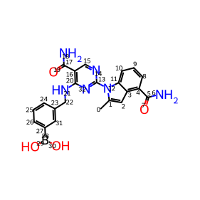 Cc1cc2c(C(N)=O)cccc2n1-c1ncc(C(N)=O)c(NCc2cccc(B(O)O)c2)n1